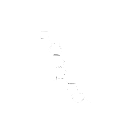 Cc1c([C@H](NC(=O)Nc2cnc(N3CCC3)nc2)C(F)(F)F)oc2c(F)cc(F)cc12